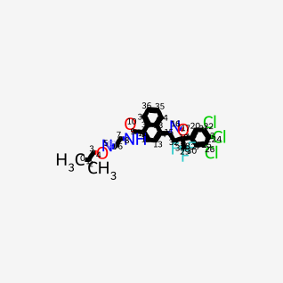 CC(C)CO/N=C/CNC(=O)c1ccc(C2=NOC(c3cc(Cl)c(Cl)c(Cl)c3)(C(F)(F)F)C2)c2ccccc12